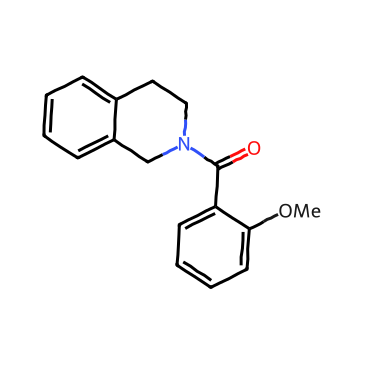 COc1ccccc1C(=O)N1CCc2ccccc2C1